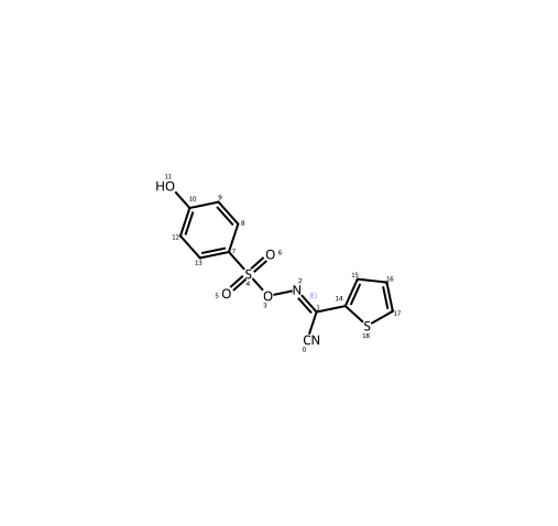 N#C/C(=N\OS(=O)(=O)c1ccc(O)cc1)c1cccs1